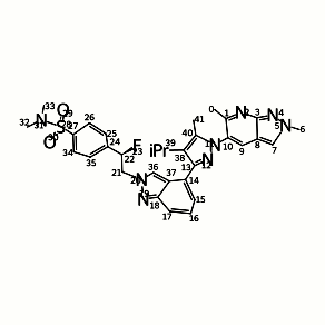 Cc1nc2nn(C)cc2cc1-n1nc(-c2cccc3nn(C[C@H](F)c4ccc(S(=O)(=O)N(C)C)cc4)cc23)c(C(C)C)c1C